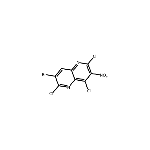 O=[N+]([O-])c1c(Cl)nc2cc(Br)c(Cl)nc2c1Cl